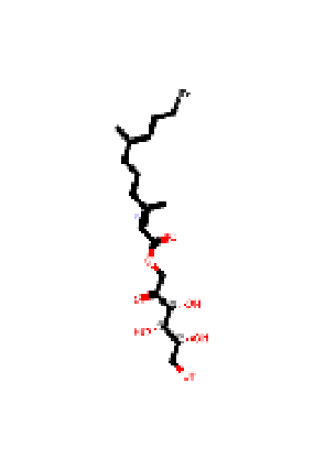 C/C(=C\C(=O)OCC(=O)[C@H](O)[C@@H](O)[C@H](O)CO)CCCC(C)CCCC(C)C